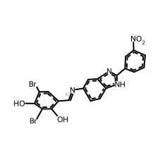 O=[N+]([O-])c1cccc(-c2nc3cc(/N=C/c4cc(Br)c(O)c(Br)c4O)ccc3[nH]2)c1